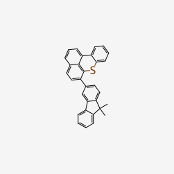 CC1(C)c2ccccc2-c2cc(-c3ccc4cccc5c4c3Sc3ccccc3-5)ccc21